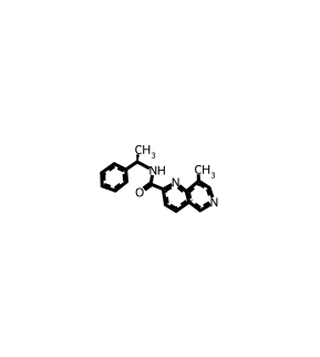 Cc1cncc2ccc(C(=O)N[C@H](C)c3ccccc3)nc12